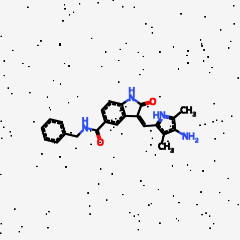 Cc1[nH]c(C=C2C(=O)Nc3ccc(C(=O)NCc4ccccc4)cc32)c(C)c1N